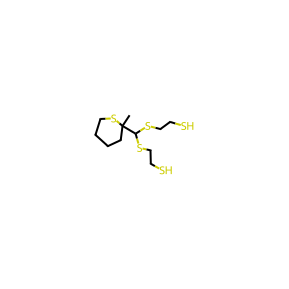 CC1(C(SCCS)SCCS)CCCCS1